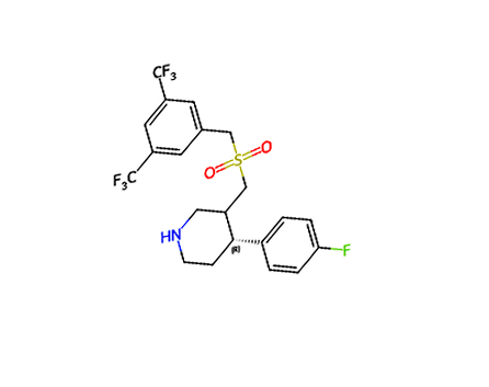 O=S(=O)(Cc1cc(C(F)(F)F)cc(C(F)(F)F)c1)CC1CNCC[C@H]1c1ccc(F)cc1